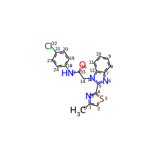 Cc1csc(-c2nc3ccccc3n2CC(=O)Nc2ccc(Cl)cc2)n1